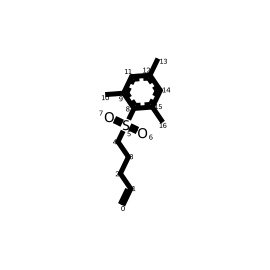 C=CCCCS(=O)(=O)c1c(C)cc(C)cc1C